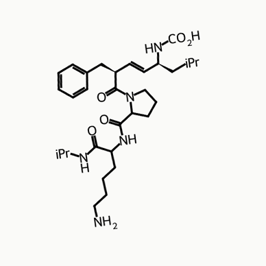 CC(C)C[C@@H](/C=C/[C@H](Cc1ccccc1)C(=O)N1CCCC1C(=O)NC(CCCCN)C(=O)NC(C)C)NC(=O)O